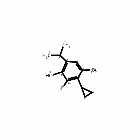 CC(c1cc(C(C)(C)C)c(C2CC2)c(F)c1O)C(F)(F)F